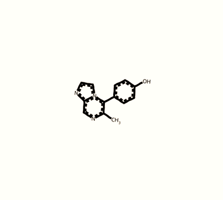 Cc1ncc2nccn2c1-c1ccc(O)cc1